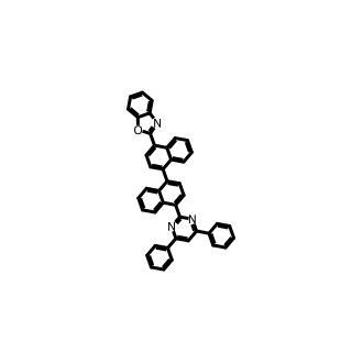 c1ccc(-c2cc(-c3ccccc3)nc(-c3ccc(-c4ccc(-c5nc6ccccc6o5)c5ccccc45)c4ccccc34)n2)cc1